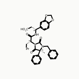 CC(C)C[C@H](C(=O)N[C@H](CC(=O)O)c1ccc2c(c1)OCO2)N1C(=O)N(Cc2ccccc2)[C@@](C)(c2ccccc2)C1=O